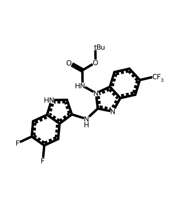 CC(C)(C)OC(=O)Nn1c(Nc2c[nH]c3cc(F)c(F)cc23)nc2cc(C(F)(F)F)ccc21